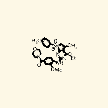 CCOc1nc(Nc2ccc(C(=O)N3CCOCC3)cc2OC)nc2c1c(C)cn2S(=O)(=O)c1ccc(C)cc1